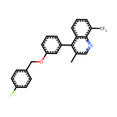 Cc1cnc2c(C(F)(F)F)cccc2c1-c1cccc(OCc2ccc(F)cc2)c1